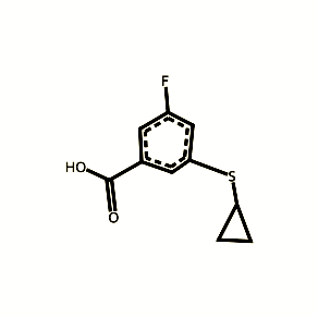 O=C(O)c1cc(F)cc(SC2CC2)c1